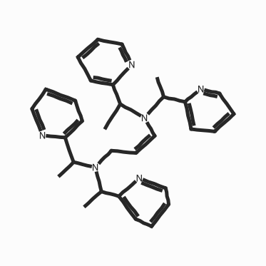 CC(c1ccccn1)N(C=CCN(C(C)c1ccccn1)C(C)c1ccccn1)C(C)c1ccccn1